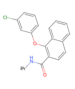 CC(C)NC(=O)c1ccc2ccccc2c1Oc1cccc(Cl)c1